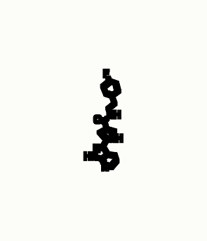 O=C(NCCc1ccc(F)cc1)c1c[nH]c(-c2n[nH]c3ncccc23)c1